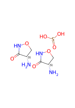 N[C@H]1CONC1=O.N[C@H]1CONC1=O.O=S(O)O